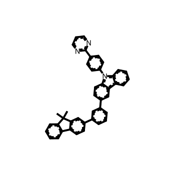 CC1(C)c2ccccc2-c2ccc(-c3cccc(-c4ccc5c(c4)c4ccccc4n5-c4ccc(-c5ncccn5)cc4)c3)cc21